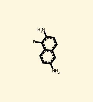 Nc1ccc2c(F)c(N)ccc2c1